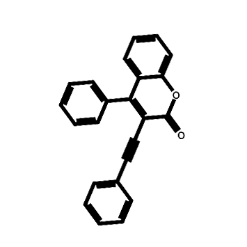 O=c1oc2ccccc2c(-c2ccccc2)c1C#Cc1ccccc1